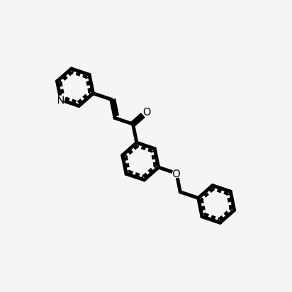 O=C(C=Cc1cccnc1)c1cccc(OCc2ccccc2)c1